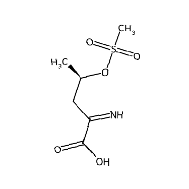 C[C@H](CC(=N)C(=O)O)OS(C)(=O)=O